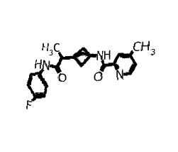 Cc1ccnc(C(=O)NC23CC(C(C)C(=O)Nc4ccc(F)cc4)(C2)C3)c1